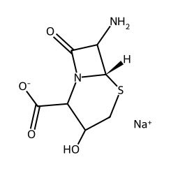 NC1C(=O)N2C(C(=O)[O-])C(O)CS[C@@H]12.[Na+]